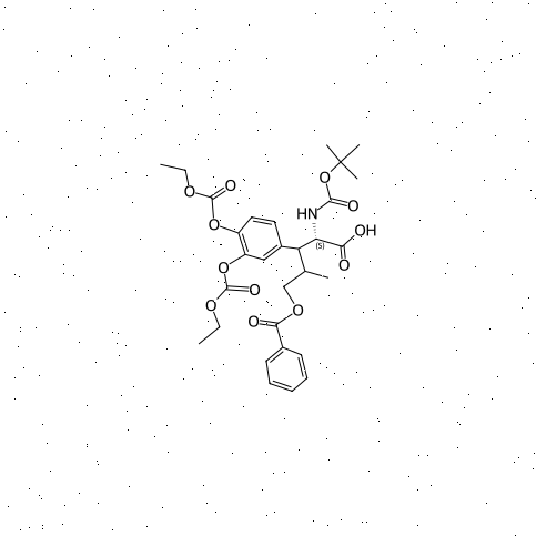 CCOC(=O)Oc1ccc(C(C(C)COC(=O)c2ccccc2)[C@H](NC(=O)OC(C)(C)C)C(=O)O)cc1OC(=O)OCC